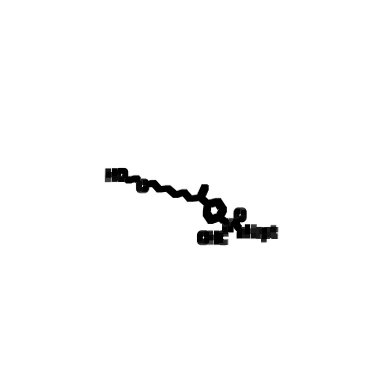 C=C(CCCCCCOCCO)c1ccc(N(C=O)C(=O)CCCCCCC)cc1